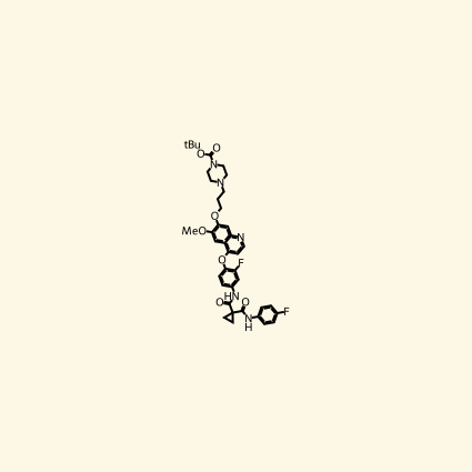 COc1cc2c(Oc3ccc(NC(=O)C4(C(=O)Nc5ccc(F)cc5)CC4)cc3F)ccnc2cc1OCCCN1CCN(C(=O)OC(C)(C)C)CC1